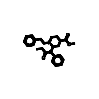 CCC(=O)N(c1ccccc1)C1CC(C(=O)OC)CCN1CCc1ccccc1